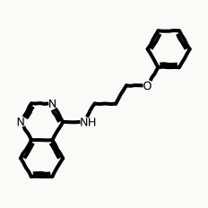 c1ccc(OCCCNc2ncnc3ccccc23)cc1